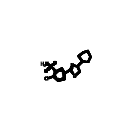 NS(=O)(=O)c1cc(C2=NC(C3CCCCC3)CO2)ccc1Cl